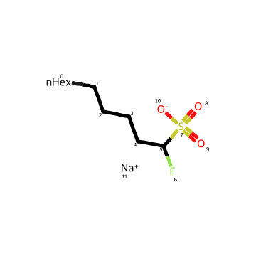 CCCCCCCCCCC(F)S(=O)(=O)[O-].[Na+]